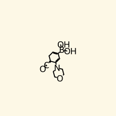 O=C=C1CC=C(B(O)O)C=C1N1CCOCC1